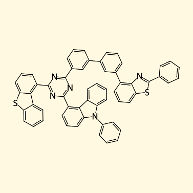 c1ccc(-c2nc3c(-c4cccc(-c5cccc(-c6nc(-c7cccc8sc9ccccc9c78)nc(-c7cccc8c7c7ccccc7n8-c7ccccc7)n6)c5)c4)cccc3s2)cc1